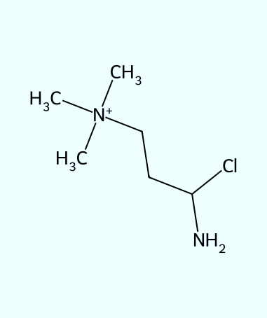 C[N+](C)(C)CCC(N)Cl